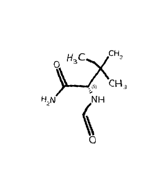 CC(C)(C)[C@H](NC=O)C(N)=O